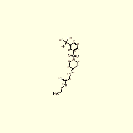 CCCNC(=O)CON=C1CCN(S(=O)(=O)c2cccc(C(F)(F)F)c2)CC1